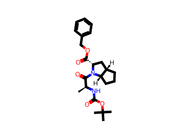 C[C@H](NC(=O)OC(C)(C)C)C(=O)N1[C@H](C(=O)OCc2ccccc2)C[C@@H]2CCC[C@@H]21